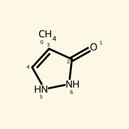 C.O=c1cc[nH][nH]1